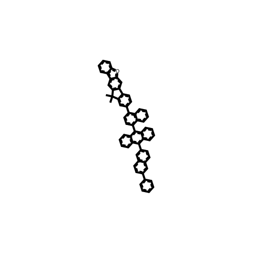 CC1(C)c2cc(-c3ccc(-c4c5ccccc5c(-c5ccc6cc(-c7ccccc7)ccc6c5)c5ccccc45)c4ccccc34)ccc2-c2cc3oc4ccccc4c3cc21